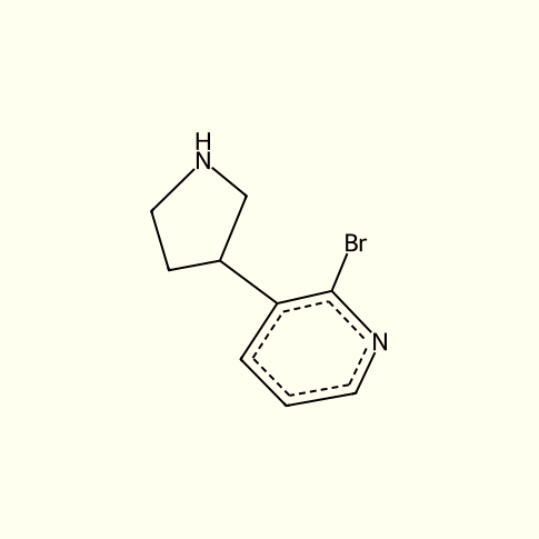 Brc1ncccc1C1CCNC1